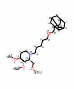 CCCCOC[C@H]1[C@H](OCCCC)[C@@H](OCCCC)CCN1CCCCCOCC12CC3CC(CC(C3)C1)C2